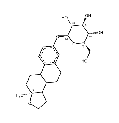 C[C@]12CCC3c4ccc(O[C@@H]5O[C@H](CO)[C@@H](O)[C@H](O)[C@H]5O)cc4CCC3C1CCO2